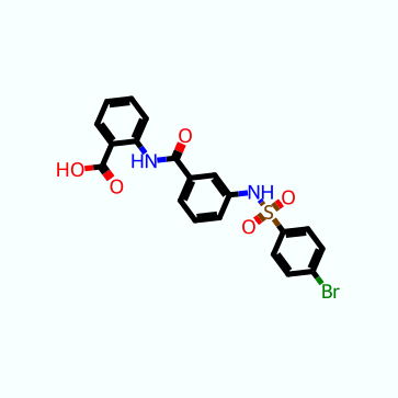 O=C(Nc1ccccc1C(=O)O)c1cccc(NS(=O)(=O)c2ccc(Br)cc2)c1